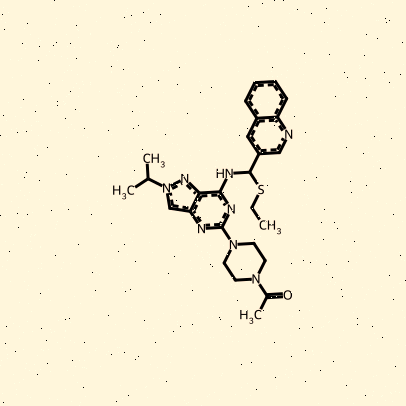 CCSC(Nc1nc(N2CCN(C(C)=O)CC2)nc2cn(C(C)C)nc12)c1cnc2ccccc2c1